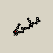 c1ccc(-c2ccc(-c3cccc(N(c4ccc(-c5cccc(-c6cc7cc(-c8cccc(-c9ccc(N(c%10ccc(-c%11ccccc%11)cc%10)c%10ccc(-c%11cccc(-c%12cc%13ccccc%13c%13ccccc%12%13)c%11)cc%10)c%10ccccc9%10)c8)ccc7c7ccccc67)c5)cc4)c4cccc5oc6ccccc6c45)c3)cc2)cc1